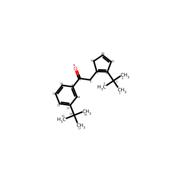 CC(C)(C)C1=C(CC(=O)c2cccc(C(C)(C)C)c2)CC=C1